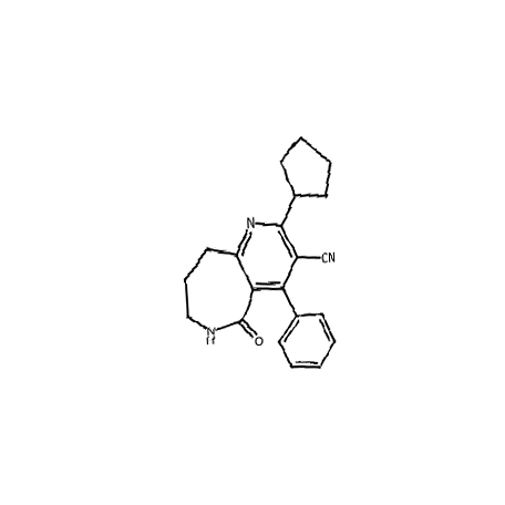 N#Cc1c(C2CCCC2)nc2c(c1-c1ccccc1)C(=O)NCCC2